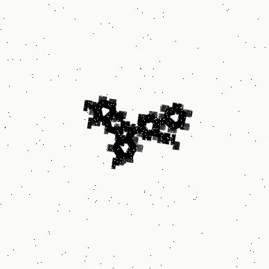 Nc1nc(-c2nc(Cc3c(F)ccc(F)c3F)n3cc(F)ccc23)ncc1-c1cccnc1